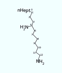 CCCCCCCCCCC(N)CCCCCCCN